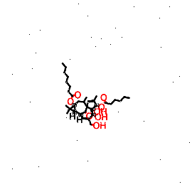 CCCCCCCC(=O)O[C@@]12CC(C)C34C=C(C)[C@H](OC(=O)CCCCC)[C@@]3(O)[C@H](O)C(CO)=C[C@H](C4=O)[C@@H]1C2(C)C